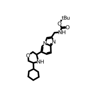 CC(C)(C)OC(=O)NCc1cn2cc(C3COCC(C4CCCCC4)N3)ccc2n1